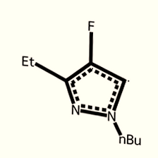 CCCCn1[c]c(F)c(CC)n1